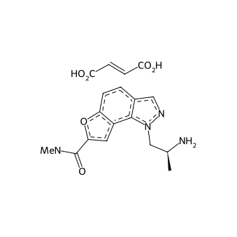 CNC(=O)c1cc2c(ccc3cnn(C[C@H](C)N)c32)o1.O=C(O)C=CC(=O)O